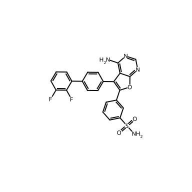 Nc1ncnc2oc(-c3cccc(S(N)(=O)=O)c3)c(-c3ccc(-c4cccc(F)c4F)cc3)c12